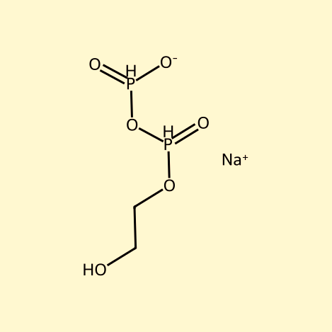 O=[PH]([O-])O[PH](=O)OCCO.[Na+]